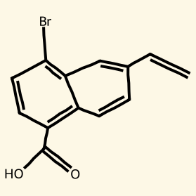 C=Cc1ccc2c(C(=O)O)ccc(Br)c2c1